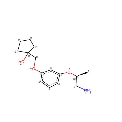 C[C@@H](CN)Oc1cccc(OCC2(O)CCCC2)c1